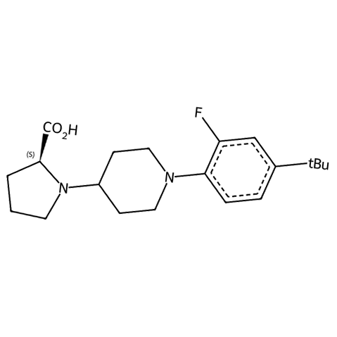 CC(C)(C)c1ccc(N2CCC(N3CCC[C@H]3C(=O)O)CC2)c(F)c1